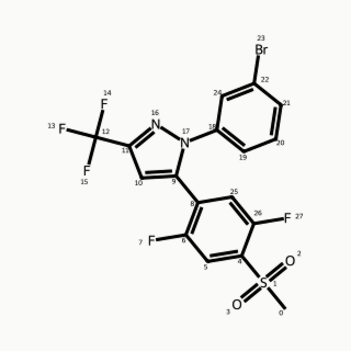 CS(=O)(=O)c1cc(F)c(-c2cc(C(F)(F)F)nn2-c2cccc(Br)c2)cc1F